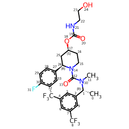 C[C@H](c1cc(C(F)(F)F)cc(C(F)(F)F)c1)N(C)C(=O)N1CC[C@H](OC(=O)NCCO)C[C@@H]1c1ccc(F)cc1